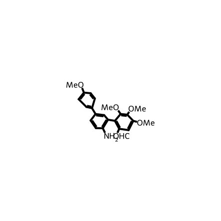 COc1ccc(-c2ccc(N)c(-c3c(C=O)cc(OC)c(OC)c3OC)c2)cc1